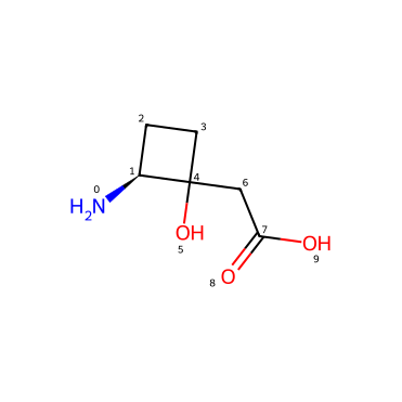 N[C@H]1CCC1(O)CC(=O)O